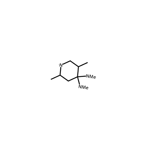 CNC1(NC)CC(C)[N]CC1C